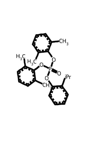 Cc1cccc(C)c1OP(=O)(Oc1ccccc1C(C)C)Oc1c(C)cccc1C